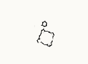 Cc1ccc(C2=CC3=CC4=NC(=CC5=NC(=CC6=NC(=CC2=N3)C=C6)C=C5)C=C4)c(C)c1C.[Zn]